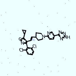 Clc1cccc(Cl)c1-c1noc(C2CC2)c1/C=C/C1CCN(c2ccc(-c3nn[nH]n3)cn2)CC1